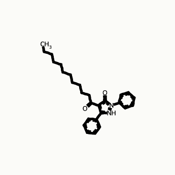 CCCCCCCCCCCC(=O)c1c(-c2ccccc2)[nH]n(-c2ccccc2)c1=O